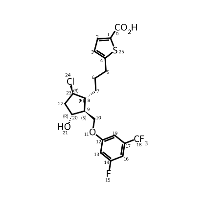 O=C(O)c1ccc(CCC[C@@H]2[C@@H](COc3cc(F)cc(C(F)(F)F)c3)[C@H](O)C[C@H]2Cl)s1